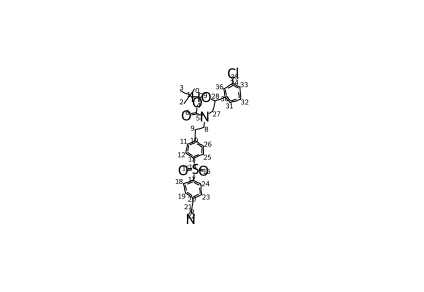 CC(C)(C)OC(=O)N(CCc1ccc(S(=O)(=O)c2ccc(C#N)cc2)cc1)CC(O)c1cccc(Cl)c1